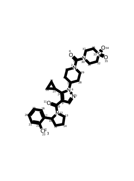 O=C(N1CCC(n2ncc(C(=O)N3CCCC3c3ccccc3C(F)(F)F)c2C2CC2)CC1)N1CCS(=O)(=O)CC1